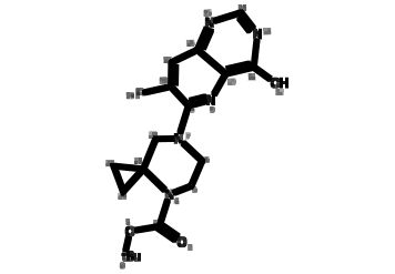 CC(C)(C)OC(=O)N1CCN(c2nc3c(O)ncnc3cc2F)CC12CC2